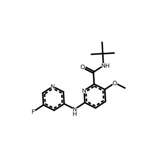 COc1ccc(Nc2cncc(F)c2)nc1C(=O)NC(C)(C)C